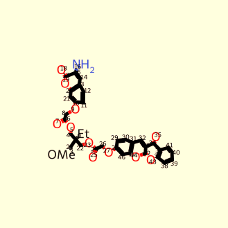 CCC(COC)(COC(=O)COc1ccc2cc(N)c(=O)oc2c1)COC(=O)COc1ccc2cc(C(=O)c3ccccc3)c(=O)oc2c1